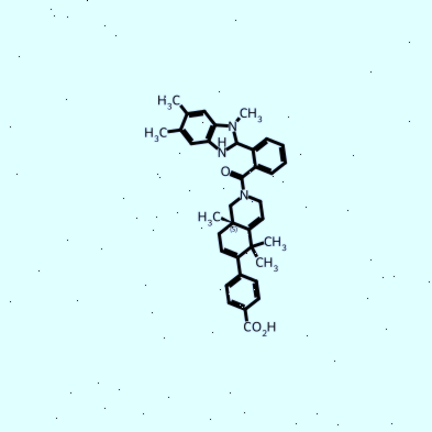 Cc1cc2c(cc1C)N(C)C(c1ccccc1C(=O)N1CC=C3C(C)(C)C(c4ccc(C(=O)O)cc4)=CC[C@]3(C)C1)N2